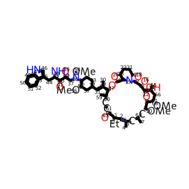 CCC1/C=C(\C)CC(C)CC(OC)C2OC(O)(C(=O)C(=O)N3CCCCC3C(=O)OC(C(C)=CC3CCC(N(CC(=O)C(=O)[C@@H](N)Cc4c[nH]c5ccccc45)OC)C(OC)C3)C(C)CCC1=O)C(C)CC2OC